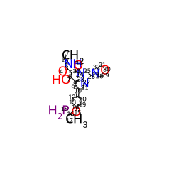 C=CNC(=O)c1c(O)c2cc(-c3ccc(OC(C)P)cc3)cnc2n(CCN2CCOCC2)c1=O